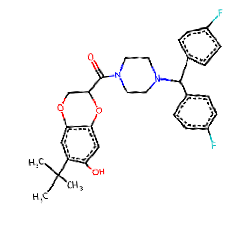 CC(C)(C)c1cc2c(cc1O)OC(C(=O)N1CCN(C(c3ccc(F)cc3)c3ccc(F)cc3)CC1)CO2